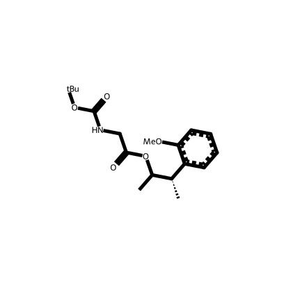 COc1ccccc1[C@H](C)C(C)OC(=O)CNC(=O)OC(C)(C)C